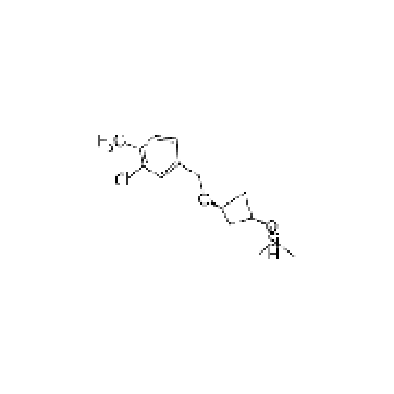 C[SiH](C)O[C@H]1C[C@@H](OCc2ccc(C(F)(F)F)c(Cl)c2)C1